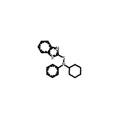 c1ccc(N(Sc2nc3ccccc3s2)C2CCCCC2)cc1